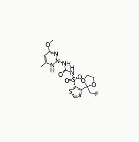 COC1=NN(NC(=O)NS(=O)(=O)c2sccc2C2(CF)OCCO2)NC(C)=C1